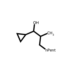 CCCCCCC(C)C(O)C1CC1